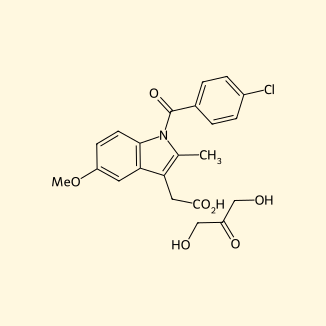 COc1ccc2c(c1)c(CC(=O)O)c(C)n2C(=O)c1ccc(Cl)cc1.O=C(CO)CO